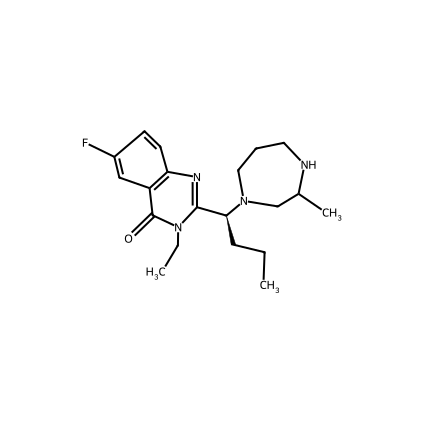 CCC[C@@H](c1nc2ccc(F)cc2c(=O)n1CC)N1CCCNC(C)C1